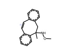 CONC1(C)Cc2ccccc2/C=C\c2ccccc21